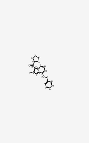 Cc1cc2c(OCc3ccccc3)cccn2c1C(=O)C1CCCC1